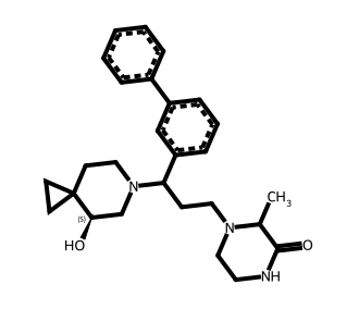 CC1C(=O)NCCN1CCC(c1cccc(-c2ccccc2)c1)N1CCC2(CC2)[C@H](O)C1